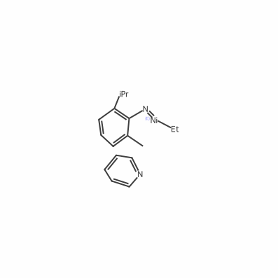 C[CH2]/[Ni]=[N]/c1c(C)cccc1C(C)C.c1ccncc1